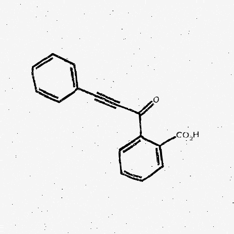 O=C(O)c1ccccc1C(=O)C#Cc1ccccc1